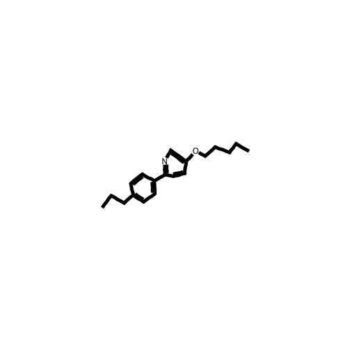 CCCCCOc1ccc(-c2ccc(CCC)cc2)nc1